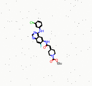 CC(C)(C)OC(=O)N1CCC(=CC(=O)Nc2cc3c(Nc4cccc(Cl)c4)ncnc3cc2F)CC1